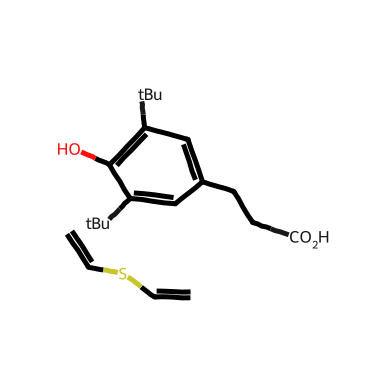 C=CSC=C.CC(C)(C)c1cc(CCC(=O)O)cc(C(C)(C)C)c1O